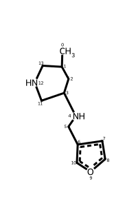 CC1[CH]C(NCc2ccoc2)CNC1